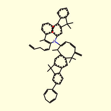 C=CC/C=C\C(=C(/C)c1ccccc1)N(/C1=C/C=C\C(=C)C(C)(C)c2cc3c(cc2C1C)C(C)(C)c1cc(C2=CC=CCC=C2)ccc1-3)c1ccc2c(c1)C(C)(C)c1ccccc1-2